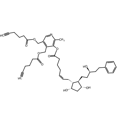 C#CCCCC(=O)OCc1cnc(C)c(OC(=O)CCC/C=C\C[C@@H]2[C@@H](CC[C@@H](O)CCc3ccccc3)[C@H](O)C[C@@H]2O)c1COC(=O)CCCC#C